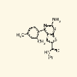 Cc1ccc(-c2nc(N)nc3sc(C(=O)NC(C)C)cc23)c(C)c1